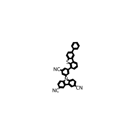 N#Cc1cc(-c2cccc3c2sc2ccc(-c4ccccc4)cc23)cc(-n2c3ccc(C#N)cc3c3cc(C#N)ccc32)c1